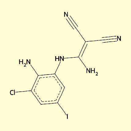 N#CC(C#N)=C(N)Nc1cc(I)cc(Cl)c1N